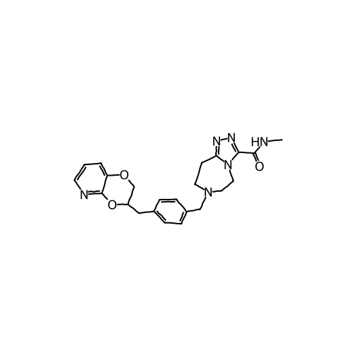 CNC(=O)c1nnc2n1CCN(Cc1ccc(CC3COc4cccnc4O3)cc1)CC2